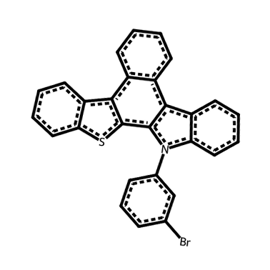 Brc1cccc(-n2c3ccccc3c3c4ccccc4c4c5ccccc5sc4c32)c1